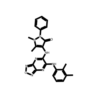 Cc1cccc(Nc2nc3nonc3nc2Nc2c(C)n(C)n(-c3ccccc3)c2=O)c1C